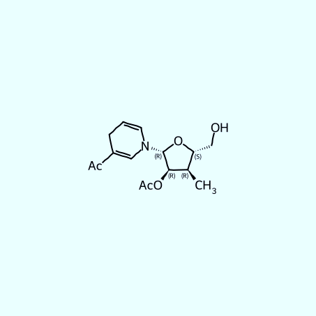 CC(=O)O[C@@H]1[C@H](C)[C@@H](CO)O[C@H]1N1C=CCC(C(C)=O)=C1